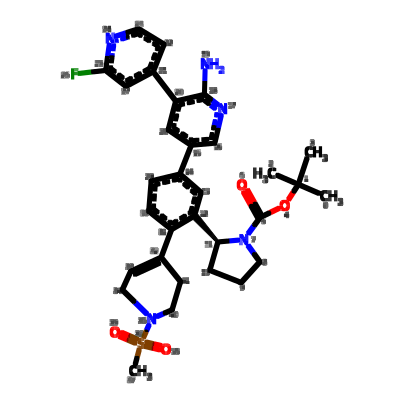 CC(C)(C)OC(=O)N1CCC[C@H]1c1cc(-c2cnc(N)c(-c3ccnc(F)c3)c2)ccc1C1=CCN(S(C)(=O)=O)CC1